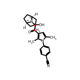 Cc1cc(C(=O)CN2[C@@H]3CC[C@H]2CC(C)(O)C3)c(C)n1-c1ccc(C#N)cc1